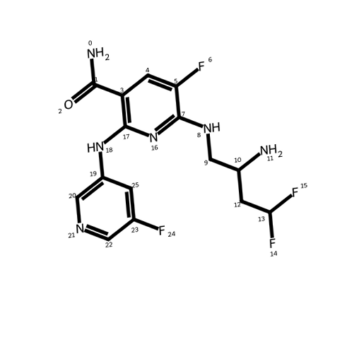 NC(=O)c1cc(F)c(NCC(N)CC(F)F)nc1Nc1cncc(F)c1